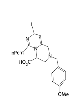 CCCCCC1=NC(I)C=C2CN(Cc3ccc(OC)cc3)CC(C(=O)O)N21